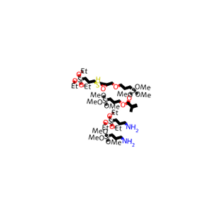 C=C(C)C(=O)OCCC[Si](OC)(OC)OC.CCO[Si](CCCN)(OCC)OCC.CCO[Si](CCCS)(OCC)OCC.CO[Si](CCCN)(OC)OC.CO[Si](CCCOCC1CO1)(OC)OC